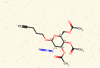 C#CCCCO[C@H]1O[C@@H](COC(C)=O)[C@@H](OC(C)=O)[C@@H](OC(C)=O)[C@@H]1N=[N+]=[N-]